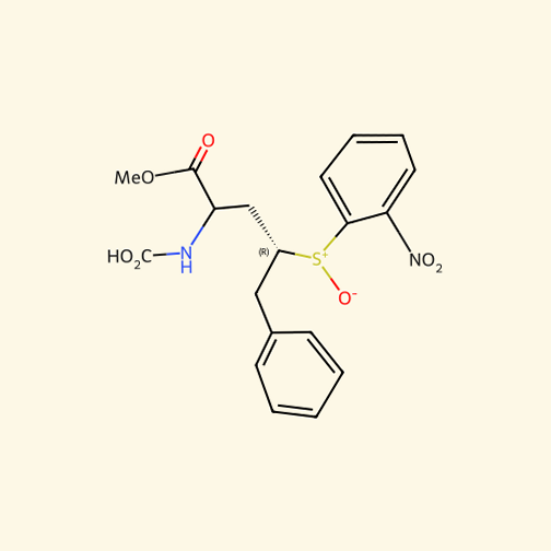 COC(=O)C(C[C@@H](Cc1ccccc1)[S+]([O-])c1ccccc1[N+](=O)[O-])NC(=O)O